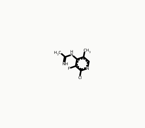 CC(=N)Nc1c(C)cnc(Cl)c1F